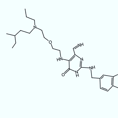 CCCN(CCOCCNc1c(C=N)nc(NCc2ccc(Cl)c(Cl)c2)[nH]c1=O)CCC(C)CC